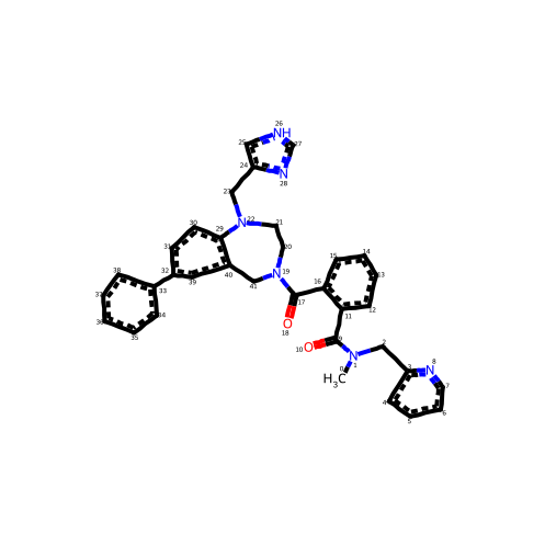 CN(Cc1ccccn1)C(=O)c1ccccc1C(=O)N1CCN(Cc2c[nH]cn2)c2ccc(-c3ccccc3)cc2C1